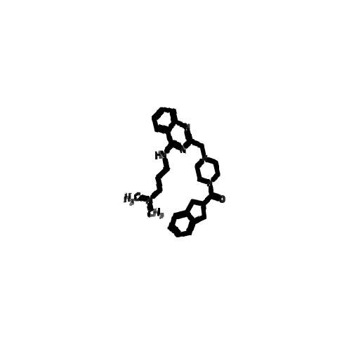 CN(C)CCCNc1nc(CN2CCN(C(=O)C3Cc4ccccc4C3)CC2)nc2ccccc12